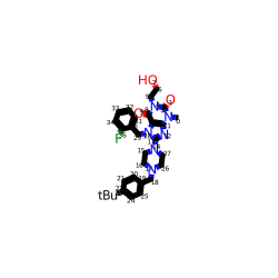 Cn1c(=O)n(CCO)c(=O)c2c1nc(N1CCN(Cc3ccc(C(C)(C)C)cc3)CC1)n2Cc1ccccc1F